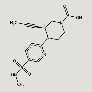 CC#C[C@H]1CN(C(=O)O)CCN1c1ccc(S(=O)(=O)NC)cn1